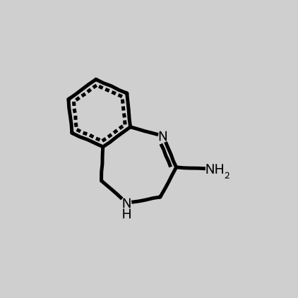 NC1=Nc2ccccc2CNC1